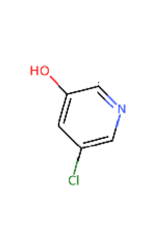 Oc1[c]ncc(Cl)c1